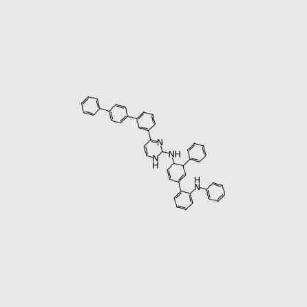 C1=CC(c2cccc(-c3ccc(-c4ccccc4)cc3)c2)=NC(NC2C=CC(c3ccccc3Nc3ccccc3)=CC2c2ccccc2)N1